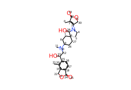 CC1=C(N2CC[C@]3(CC[C@H](N(C)C[C@H](O)c4ccc5c(c4C)COC5=O)CC3)C2O)COC1=O